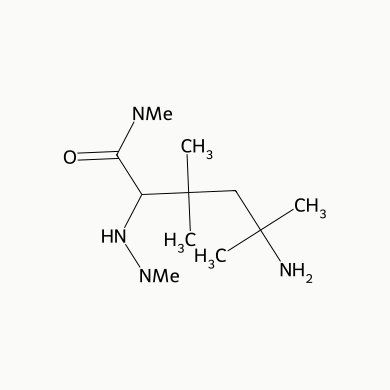 CNNC(C(=O)NC)C(C)(C)CC(C)(C)N